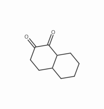 O=C1CCC2CCCCC2C1=O